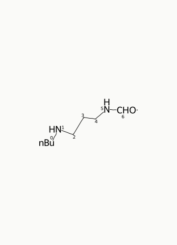 CCCCNCCCN[C]=O